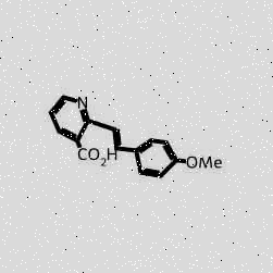 COc1ccc(C=Cc2ncccc2C(=O)O)cc1